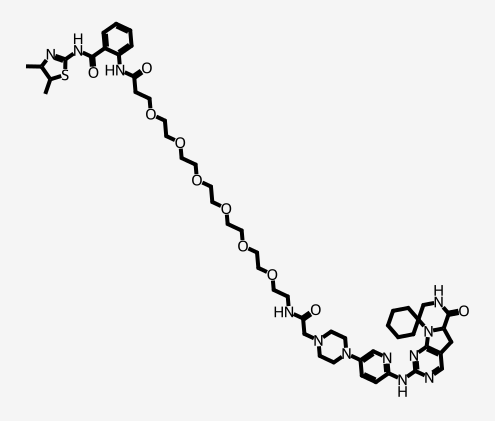 CC1N=C(NC(=O)c2ccccc2NC(=O)CCOCCOCCOCCOCCOCCOCCNC(=O)CN2CCN(c3ccc(Nc4ncc5c(n4)N4C(C5)C(=O)NCC45CCCCC5)nc3)CC2)SC1C